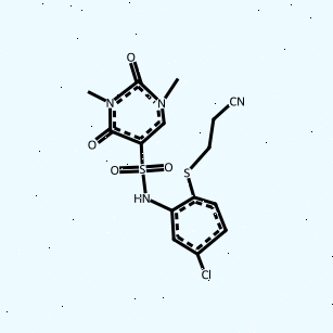 Cn1cc(S(=O)(=O)Nc2cc(Cl)ccc2SCCC#N)c(=O)n(C)c1=O